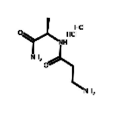 C[C@@H](NC(=O)CCN)C(N)=O.Cl.Cl